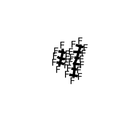 FC(F)(F)C(F)(F)C(F)(F)C(F)(F)C(F)(F)C(F)(F)F.FC(F)(F)C(F)(F)C(F)(F)F